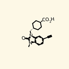 C#Cc1ccc2c(c1)n(C[C@H]1CC[C@H](C(=O)O)CC1)c(=O)n2C